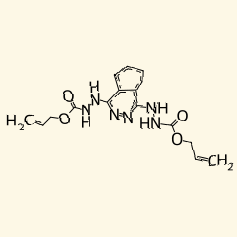 C=CCOC(=O)NNc1nnc(NNC(=O)OCC=C)c2ccccc12